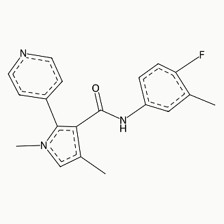 Cc1cc(NC(=O)c2c(C)cn(C)c2-c2ccncc2)ccc1F